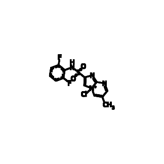 CC1=C[N+]2(Cl)C=C(S(=O)(=O)Nc3c(F)cccc3F)N=C2N=C1